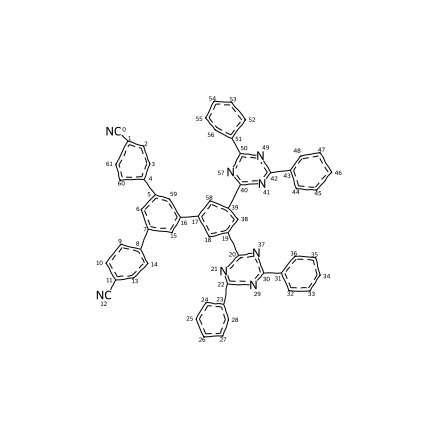 N#Cc1ccc(-c2cc(-c3ccc(C#N)cc3)cc(-c3cc(-c4nc(-c5ccccc5)nc(-c5ccccc5)n4)cc(-c4nc(-c5ccccc5)nc(-c5ccccc5)n4)c3)c2)cc1